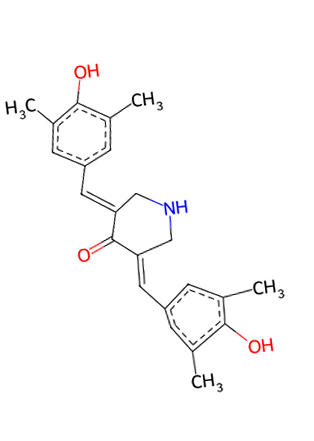 Cc1cc(/C=C2\CNC/C(=C\c3cc(C)c(O)c(C)c3)C2=O)cc(C)c1O